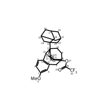 COc1ccc2c(c1)CC1CCC(C2)N2C(C34CC5CC(CC(C5)C3)C4)=NN(OC(=O)C(F)(F)F)C12